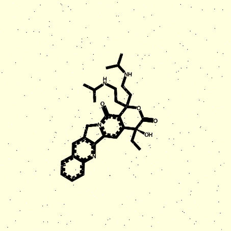 CC[C@@]1(O)C(=O)OC(CCNC(C)C)(CCNC(C)C)c2c1cc1n(c2=O)Cc2cc3ccccc3nc2-1